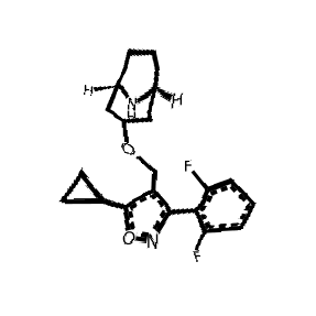 Fc1cccc(F)c1-c1noc(C2CC2)c1COC1C[C@H]2CC[C@@H](C1)N2